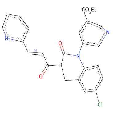 CCOC(=O)c1cncc(N2C(=O)C(C(=O)/C=C/c3ccccn3)Cc3cc(Cl)ccc32)c1